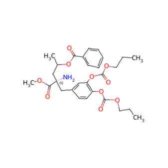 CCCOC(=O)Oc1ccc(C[C@](N)(CC(C)OC(=O)c2ccccc2)C(=O)OC)cc1OC(=O)OCCC